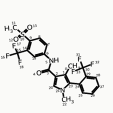 Cc1c(C(=O)Nc2ccc(S(C)(=O)=O)c(C(F)(F)F)c2)cn(C)c1-c1ccccc1C(F)(F)F